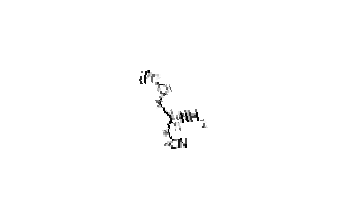 CC(C)OC[C@H](N)CC#N